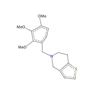 COc1ccc(CN2CCc3sccc3C2)c(OC)c1OC